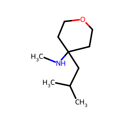 CNC1(CC(C)C)CCOCC1